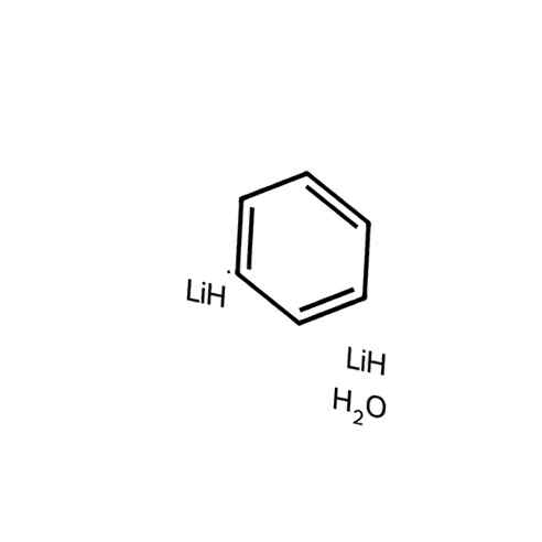 O.[LiH].[LiH].[c]1ccccc1